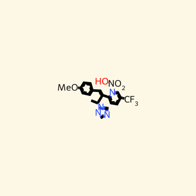 COc1ccc(C=C(c2ccc(C(F)(F)F)cn2)C(C)n2cncn2)cc1.O=[N+]([O-])O